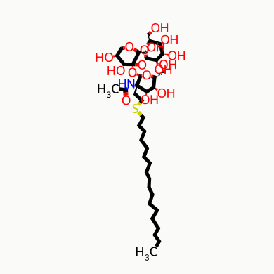 CCCCCCCCCCCCCCCCCCSCC[C@@]1(NC(C)=O)[C@@H](O[C@]2(O[C@@H]3O[C@H](CO)[C@H](O)[C@H](O)[C@H]3O)[C@H](O)[C@@H](O)CO[C@@H]2CO)O[C@H](CO)[C@@H](O)[C@@H]1O